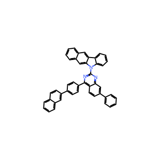 c1ccc(-c2ccc3c(-c4ccc(-c5ccc6ccccc6c5)cc4)nc(-n4c5ccccc5c5cc6ccccc6cc54)nc3c2)cc1